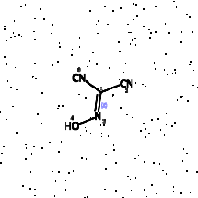 [C-]#[N+]/C(C#N)=N\O